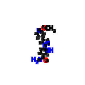 COc1cc(-c2cnn(C3C=CC(C(N)=O)=CN3)c2)ccn1